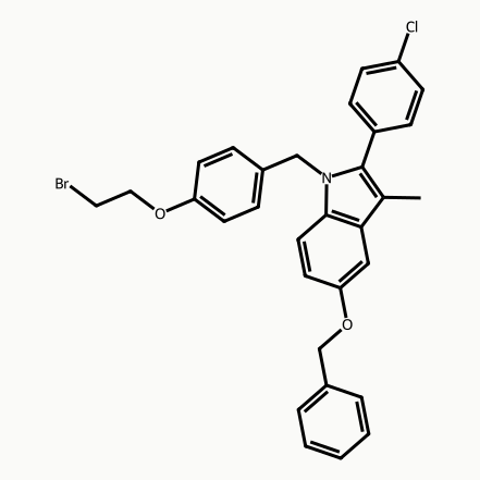 Cc1c(-c2ccc(Cl)cc2)n(Cc2ccc(OCCBr)cc2)c2ccc(OCc3ccccc3)cc12